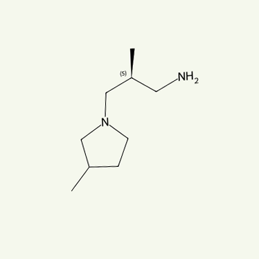 CC1CCN(C[C@@H](C)CN)C1